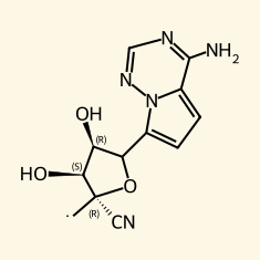 [CH2][C@]1(C#N)OC(c2ccc3c(N)ncnn23)[C@H](O)[C@@H]1O